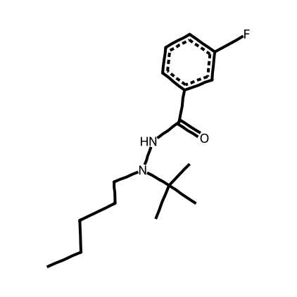 CCCCCN(NC(=O)c1cccc(F)c1)C(C)(C)C